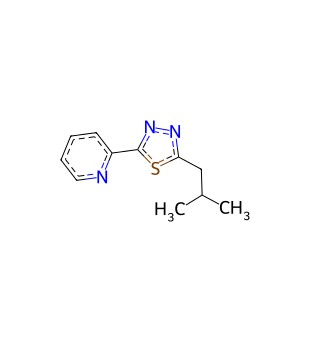 CC(C)Cc1nnc(-c2ccccn2)s1